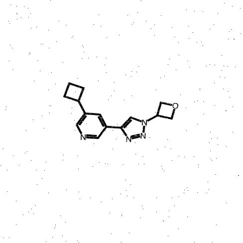 c1ncc(C2CCC2)cc1-c1cn(C2COC2)nn1